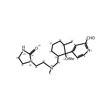 COC1(c2ccnc(C=O)c2)C(C)CCCC1CN(C)CCN1CCNC1=O